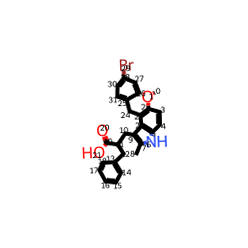 COc1ccc2[nH]c(C)c(CC(Cc3ccccc3)C(=O)O)c2c1Cc1ccc(Br)cc1